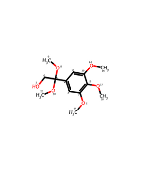 COc1cc(C(CO)(OC)OC)cc(OC)c1OC